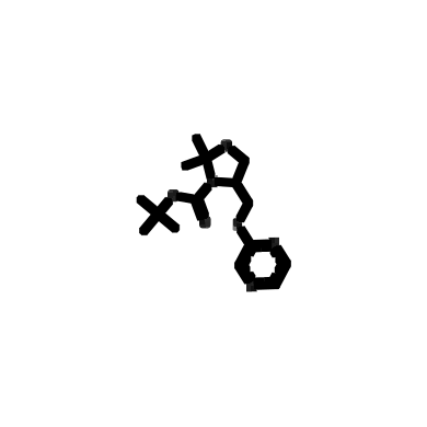 CC(C)(C)OC(=O)N1C(CSc2cnccn2)COC1(C)C